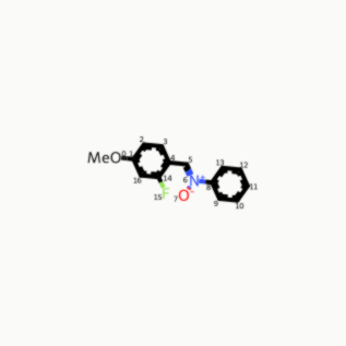 COc1ccc(C=[N+]([O-])c2ccccc2)c(F)c1